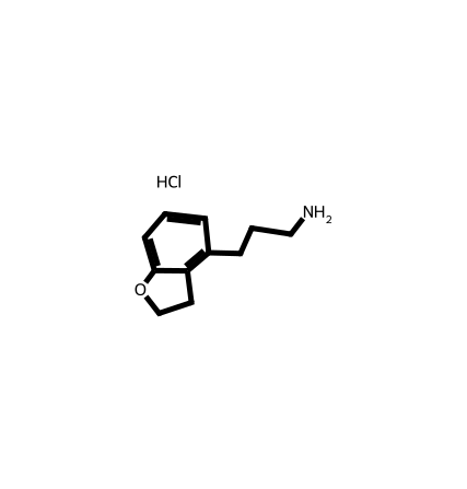 Cl.NCCCc1cccc2c1CCO2